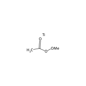 COOC(C)=O.[Ti]